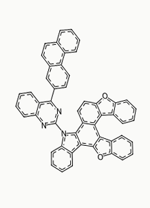 c1ccc2c(c1)ccc1cc(-c3nc(-n4c5ccccc5c5c6oc7ccccc7c6c6c(ccc7oc8ccccc8c76)c54)nc4ccccc34)ccc12